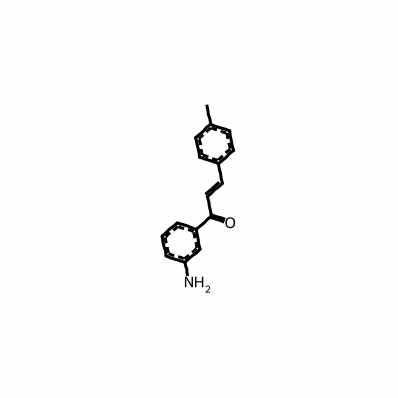 Cc1ccc(C=CC(=O)c2cccc(N)c2)cc1